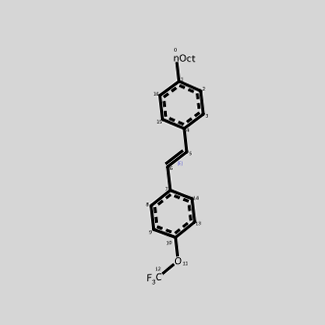 CCCCCCCCc1ccc(/C=C/c2ccc(OC(F)(F)F)cc2)cc1